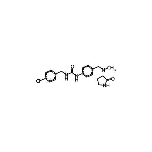 CN(Cc1ccc(NC(=O)NCc2ccc(Cl)cc2)cc1)[C@H]1CCNC1=O